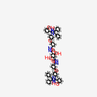 Oc1cc(-c2nnc(-c3cccc(Oc4ccc(-n5c(-c6ccccc6O)nc(-c6ccccc6)c5-c5ccccc5)cc4)c3)o2)c(O)cc1-c1nnc(-c2cccc(Oc3ccc(-n4c(-c5ccccc5O)nc(C5=CCCC=C5)c4-c4ccccc4)cc3)c2)o1